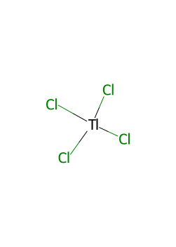 [Cl][Tl]([Cl])([Cl])[Cl]